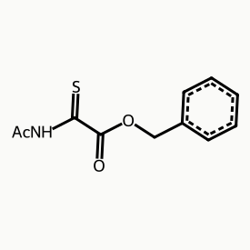 CC(=O)NC(=S)C(=O)OCc1ccccc1